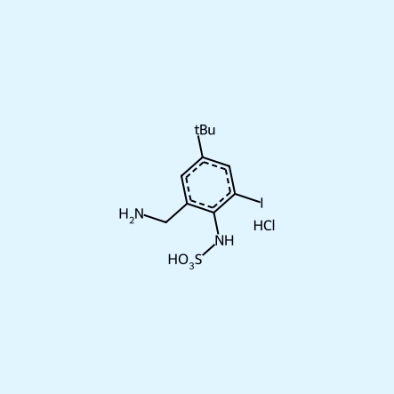 CC(C)(C)c1cc(I)c(NS(=O)(=O)O)c(CN)c1.Cl